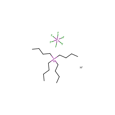 CCCC[PH](CCCC)(CCCC)CCCC.F[P-](F)(F)(F)(F)F.[H+]